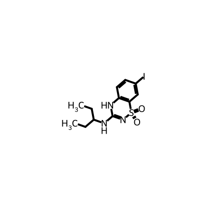 CCC(CC)NC1=NS(=O)(=O)c2cc(I)ccc2N1